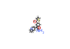 Nc1oc2ccc(C(=O)c3cccs3)cc2c1C1=CCN2CCCC2C1